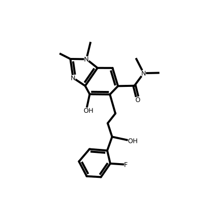 Cc1nc2c(O)c(CCC(O)c3ccccc3F)c(C(=O)N(C)C)cc2n1C